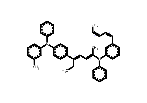 C/C=C\C=C/c1cccc(N(/C(C)=C/C=C(\CC)c2ccc(N(c3ccccc3)c3cccc(C)c3)cc2)c2ccccc2)c1